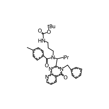 Cc1ccc(C(=O)N(CCCNC(=O)OC(C)(C)C)C(c2nc3ncccc3c(=O)n2Cc2ccccc2)C(C)C)cc1